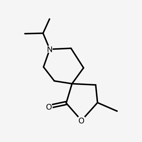 CC1CC2(CCN(C(C)C)CC2)C(=O)O1